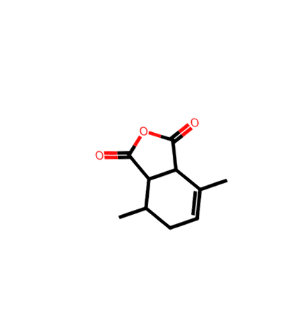 CC1=CCC(C)C2C(=O)OC(=O)C12